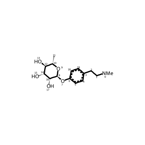 CNCCc1ccc(O[C@@H]2O[C@@H](C)[C@H](O)[C@@H](O)[C@H]2O)cc1